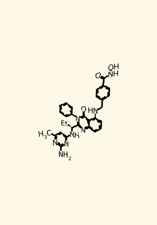 CC[C@H](Nc1cc(C)nc(N)n1)c1nc2cccc(NCc3ccc(C(=O)NO)cc3)c2c(=O)n1-c1ccccc1